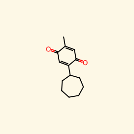 CC1=CC(=O)C(C2CCCCCC2)=CC1=O